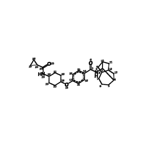 O=C(NC1C2CCCC3CC1CC3C2)c1ccc(OC2CCC(NC(=O)C3CC3)CC2)cc1